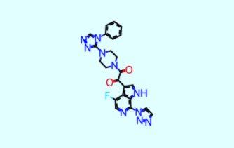 O=C(C(=O)N1CCN(c2nncn2-c2ccccc2)CC1)c1c[nH]c2c(-n3ccnn3)ncc(F)c12